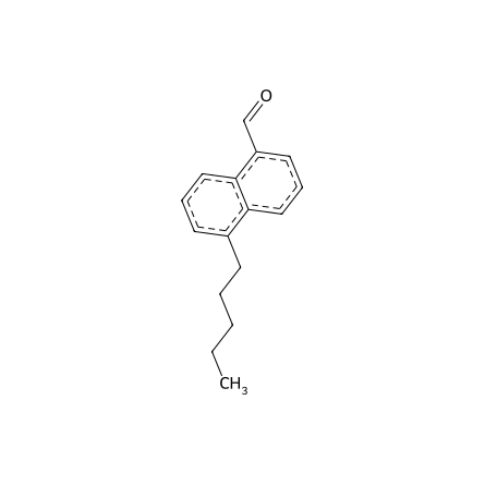 CCCCCc1cccc2c(C=O)cccc12